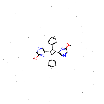 COc1cncc([C@H]2[C@H](c3ccccc3)[C@H](c3cncc(OC)n3)[C@H]2c2ccccc2)n1